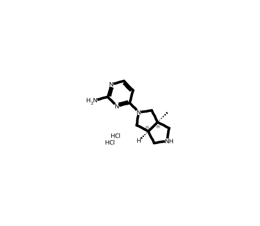 C[C@]12CNC[C@H]1CN(c1ccnc(N)n1)C2.Cl.Cl